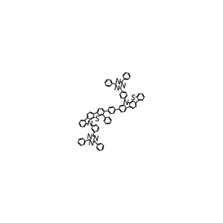 c1ccc(-c2nc(-c3ccccc3)nc(-c3ccc(-n4c5cc(-c6ccc(-c7ccc8c(sc9c8ccc8c%10ccccc%10n(-c%10cccc(-c%11nc(-c%12ccccc%12)nc(-c%12ccccc%12)n%11)c%10)c89)c7-c7ccccc7)cc6)ccc5c5ccc6c7ccccc7sc6c54)cc3)n2)cc1